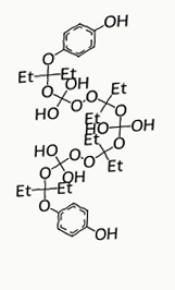 CCC(CC)(OOC(O)(O)OC(CC)(CC)Oc1ccc(O)cc1)OC(O)(O)OC(CC)(CC)OOC(O)(O)OC(CC)(CC)Oc1ccc(O)cc1